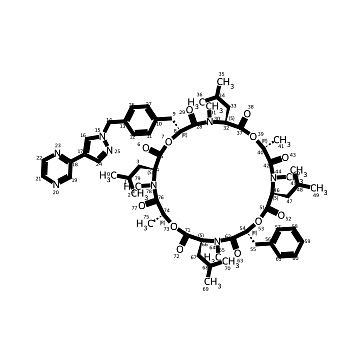 CC(C)C[C@H]1C(=O)O[C@H](Cc2ccc(Cn3cc(-c4cnccn4)cn3)cc2)C(=O)N(C)[C@@H](CC(C)C)C(=O)O[C@H](C)C(=O)N(C)[C@@H](CC(C)C)C(=O)O[C@H](Cc2ccccc2)C(=O)N(C)[C@@H](CC(C)C)C(=O)O[C@H](C)C(=O)N1C